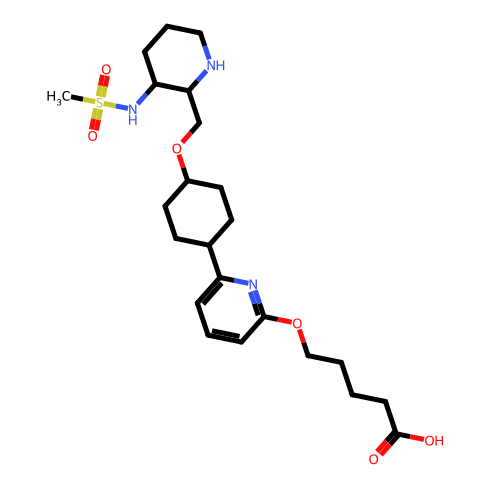 CS(=O)(=O)NC1CCCNC1COC1CCC(c2cccc(OCCCCC(=O)O)n2)CC1